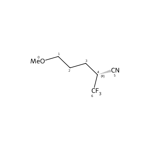 COCCC[C@H](C#N)C(F)(F)F